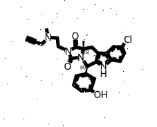 C#CCN(C)CCN1C(=O)N2[C@H](c3cccc(O)c3)c3[nH]c4ccc(Cl)cc4c3C[C@@]2(C)C1=O